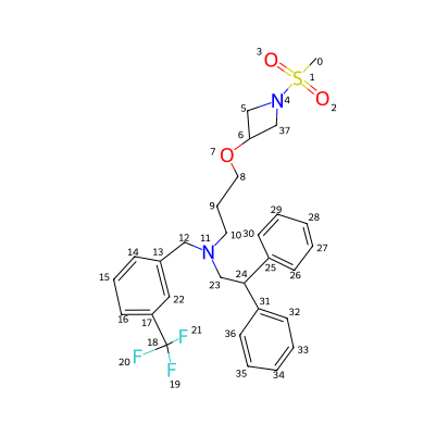 CS(=O)(=O)N1CC(OCCCN(Cc2cccc(C(F)(F)F)c2)CC(c2ccccc2)c2ccccc2)C1